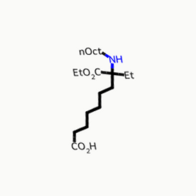 CCCCCCCCNC(CC)(CCCCCCC(=O)O)C(=O)OCC